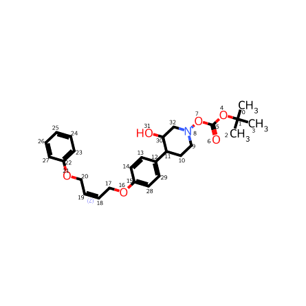 CC(C)(C)OC(=O)ON1CCC(c2ccc(OC/C=C\COc3ccccc3)cc2)C(O)C1